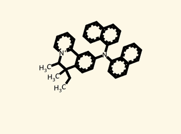 CCC1(C)c2ccc(N(c3cccc4ccccc34)c3cccc4ccccc34)cc2-c2cccc[n+]2C1C